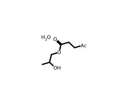 CC(=O)CCC(=O)OCC(C)O.O